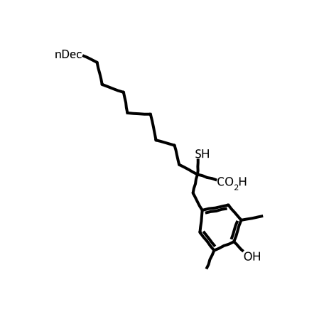 CCCCCCCCCCCCCCCCCCC(S)(Cc1cc(C)c(O)c(C)c1)C(=O)O